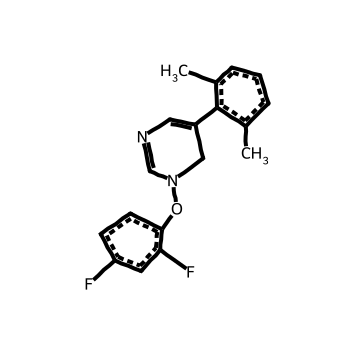 Cc1cccc(C)c1C1=CN=CN(Oc2ccc(F)cc2F)C1